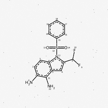 Nc1ccc2c(cc(C(F)F)n2S(=O)(=O)c2ccccc2)c1N